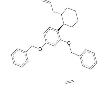 C=C.C=CC[C@@H]1CCCC[C@H]1c1ccc(OCc2ccccc2)cc1OCc1ccccc1